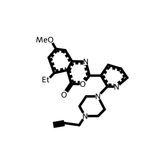 C#CCN1CCN(c2ncccc2-c2nc3cc(OC)cc(CC)c3c(=O)o2)CC1